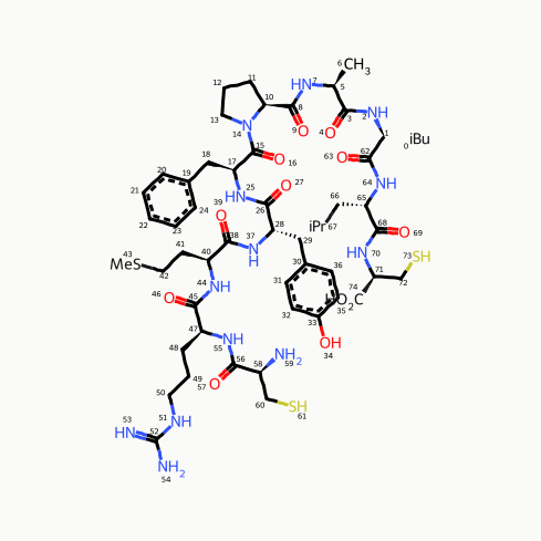 CC[C@H](C)[C@H](NC(=O)[C@H](C)NC(=O)[C@@H]1CCCN1C(=O)[C@H](Cc1ccccc1)NC(=O)[C@H](Cc1ccc(O)cc1)NC(=O)[C@H](CCSC)NC(=O)[C@H](CCCNC(=N)N)NC(=O)[C@@H](N)CS)C(=O)N[C@@H](CC(C)C)C(=O)N[C@@H](CS)C(=O)O